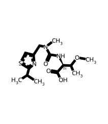 COC(C)[C@H](NC(=O)N(C)Cc1csc(C(C)C)n1)C(=O)O